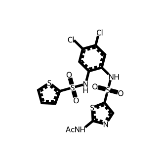 CC(=O)Nc1ncc(S(=O)(=O)Nc2cc(Cl)c(Cl)cc2NS(=O)(=O)c2cccs2)s1